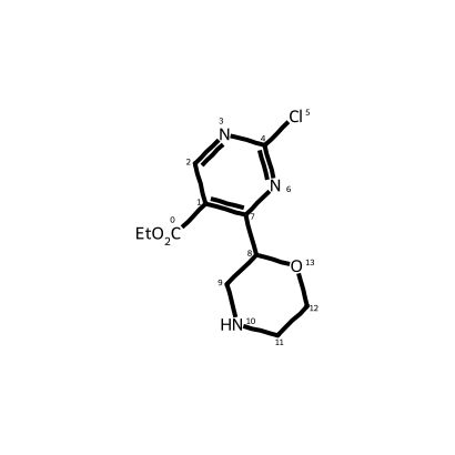 CCOC(=O)c1cnc(Cl)nc1C1CNCCO1